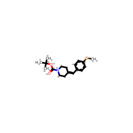 CSc1ccc(C=C2CCN(C(=O)OC(C)(C)C)CC2)cc1